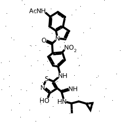 CC(=O)Nc1ccc2ccn(C(=O)c3ccc(Nc4snc(O)c4C(=N)NC(C)CC4CC4)cc3[N+](=O)[O-])c2c1